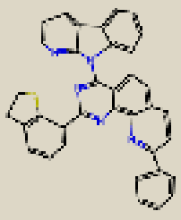 c1ccc(-c2ccc3ccc4c(-n5c6ccccc6c6cccnc65)nc(-c5cccc6c5SCC6)nc4c3n2)cc1